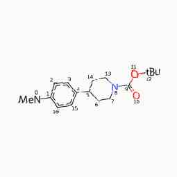 CNc1ccc(C2CCN(C(=O)OC(C)(C)C)CC2)cc1